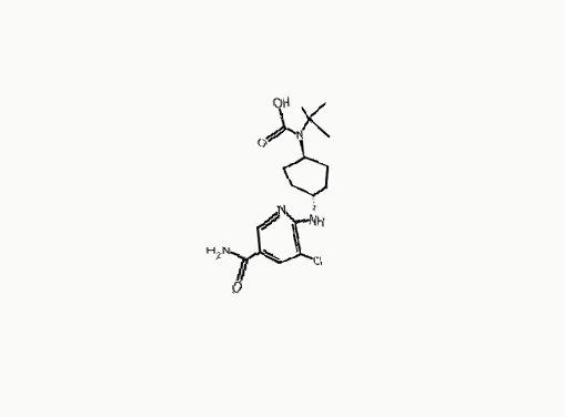 CC(C)(C)N(C(=O)O)[C@H]1CC[C@H](Nc2ncc(C(N)=O)cc2Cl)CC1